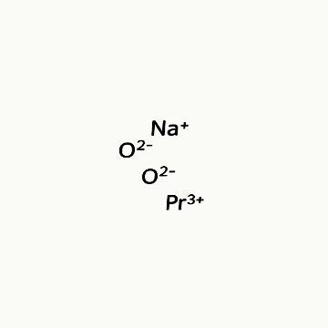 [Na+].[O-2].[O-2].[Pr+3]